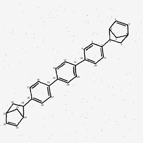 C1=CC2CC1CC2c1ccc(-c2ccc(-c3ccc(C4CC5C=CC4C5)cc3)cc2)cc1